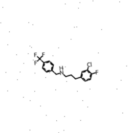 Fc1ccc(CCCNCc2ccc(C(F)(F)F)cc2)cc1Cl